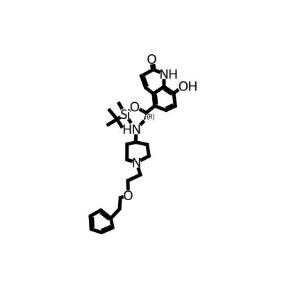 CC(C)(C)[Si](C)(C)O[C@@H](CNC1CCN(CCOCCc2ccccc2)CC1)c1ccc(O)c2[nH]c(=O)ccc12